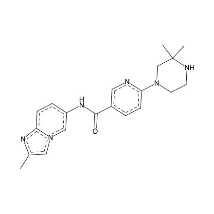 Cc1cn2cc(NC(=O)c3ccc(N4CCNC(C)(C)C4)nc3)ccc2n1